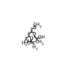 COCC(CC(CO)OC(C)C)OCC(C)O